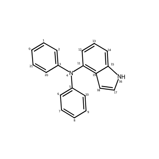 c1ccc(N(c2ccccc2)c2cccc3[nH]ccc23)cc1